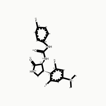 CN(C)c1cc(F)c([C@@H]2CNC(=O)[C@H]2NC(=O)Nc2ccc(F)cc2)c(F)c1